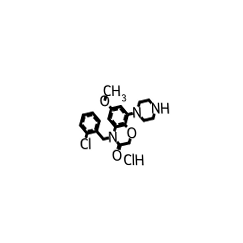 COc1cc(N2CCNCC2)c2c(c1)N(Cc1ccccc1Cl)C(=O)CO2.Cl